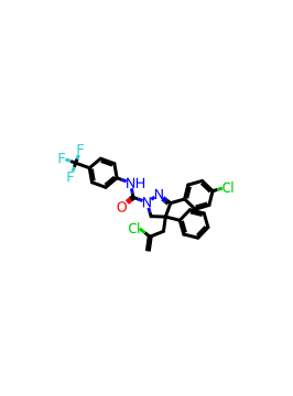 C=C(Cl)CC1(c2ccccc2)CN(C(=O)Nc2ccc(C(F)(F)F)cc2)N=C1c1ccc(Cl)cc1